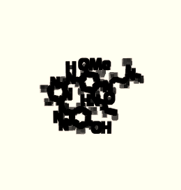 C=CC(=O)Nc1cc(Nc2nccc(-n3nnc4cc(O)ccc43)n2)c(OC)cc1N(C)CCN(C)C